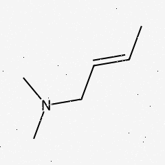 CC=CCN(C)C